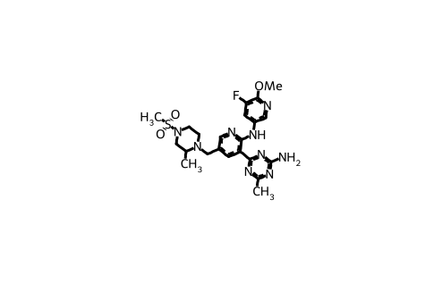 COc1ncc(Nc2ncc(CN3CCN(S(C)(=O)=O)CC3C)cc2-c2nc(C)nc(N)n2)cc1F